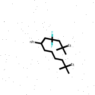 CCCC(CCCCC(C)(C)CC)CC(F)(F)CC(C)(C)CC